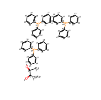 COC(=O)[C](=O)[Ru].c1ccc(P(c2ccccc2)c2ccccc2)cc1.c1ccc(P(c2ccccc2)c2ccccc2)cc1.c1ccc(P(c2ccccc2)c2ccccc2)cc1